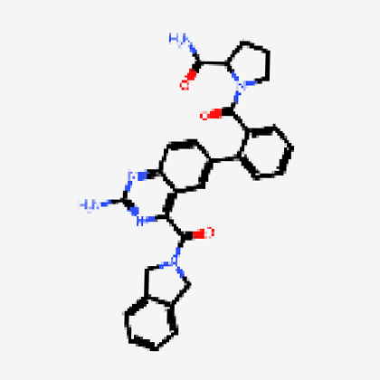 NC(=O)C1CCCN1C(=O)c1ccccc1-c1ccc2nc(N)nc(C(=O)N3Cc4ccccc4C3)c2c1